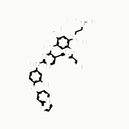 C=CC(=O)Nc1cc(Nc2nc(Nc3ccc(Oc4ccn5ccnc5c4)c(C)c3)ncc2C#N)c(OC)cc1N(C)CCN(C)C